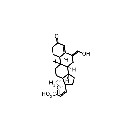 C[C@]12CC[C@H]3[C@@H](CC(=CO)C4=CC(=O)CC[C@@H]43)[C@@H]1CC[C@@]2(O)/C=C\C(=O)O